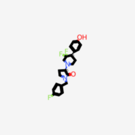 O=C1[C@H](N2CC[C@H](c3ccc(O)cc3)C(F)(F)C2)CCN1Cc1ccc(F)cc1